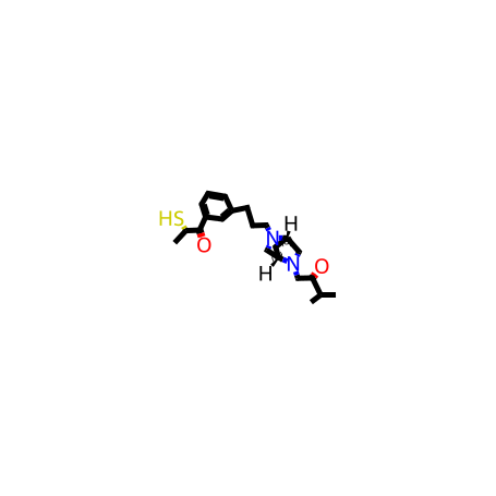 CC(C)C(=O)CN1C[C@@H]2C[C@H]1CN2CCCc1cccc(C(=O)C(C)S)c1